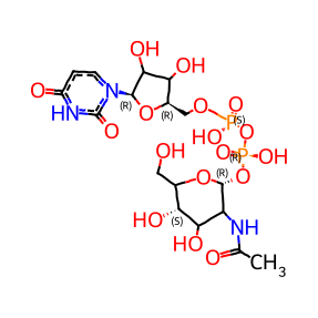 CC(=O)NC1C(O)[C@H](O)C(CO)O[C@@H]1O[P@@](=O)(O)O[P@@](=O)(O)OC[C@H]1O[C@@H](n2ccc(=O)[nH]c2=O)C(O)C1O